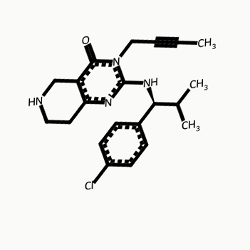 CC#CCn1c(N[C@H](c2ccc(Cl)cc2)C(C)C)nc2c(c1=O)CNCC2